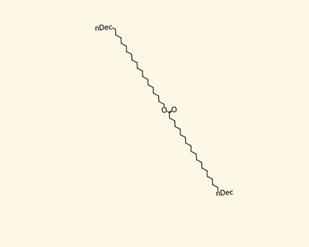 CCCCCCCCCCCCCCCCCCCCCCCCCCCCCOC(=O)CCCCCCCCCCCCCCCCCCCCCCCCCCCC